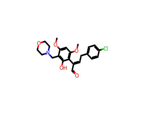 COc1cc(OC)c(/C(C=O)=C\Cc2ccc(Cl)cc2)c(O)c1CN1CCOCC1